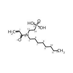 C=CC(=O)N(CCCCCCCC)CCP(=O)(O)O